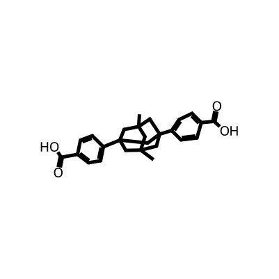 CC12CC3(C)CC(c4ccc(C(=O)O)cc4)(C1)CC(c1ccc(C(=O)O)cc1)(C2)C3